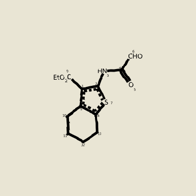 CCOC(=O)c1c(NC(=O)C=O)sc2c1CCCC2